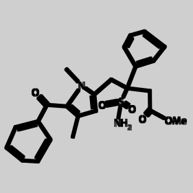 COC(=O)CC(Cc1cc(C)c(C(=O)c2ccccc2)n1C)(c1ccccc1)S(N)(=O)=O